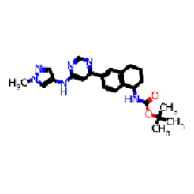 Cn1cc(Nc2cc(-c3ccc4c(c3)CCCC4NC(=O)OC(C)(C)C)ncn2)cn1